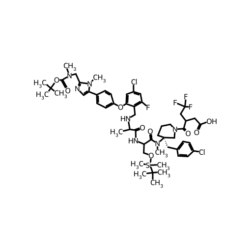 CC(NCc1c(F)cc(Cl)cc1Oc1ccc(-c2cnc(CN(C)C(=O)OC(C)(C)C)n2C)cc1)C(=O)NC(CO[Si](C)(C)C(C)(C)C)C(=O)N(C)[C@@]1(Cc2ccc(Cl)cc2)CCCN(C(=O)C(CC(=O)O)CC(F)(F)F)C1